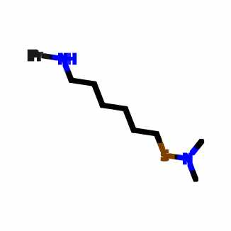 CC(C)NCCCCCCSN(C)C